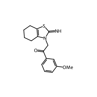 COc1cccc(C(=O)Cn2c3c(sc2=N)CCCC3)c1